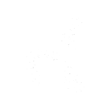 COc1cc2c(cc1OCc1cc(COc3cc4c(cc3OC)C(=O)N3c5ccccc5CC3CN4)cc(NC(=O)C(C)NC(=O)C(NC(=O)CCC(C)(C)S)C(C)C)c1)N=C[C@@H]1Cc3ccccc3N1C2=O